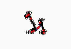 CC1(C)C(/C=C/C=C/C=C2/N(CCCCCC(=O)ON3C(=O)CCC3=O)c3ccc(S(=O)(=O)O)cc3C2(C)C)=[N+](CCOCCOCCOCCOCc2cc([N+](=O)[O-])cc([N+](=O)[O-])c2)c2ccc(S(=O)(=O)O)cc21